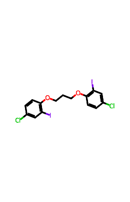 Clc1ccc(OCCCOc2ccc(Cl)cc2I)c(I)c1